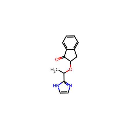 CC(OC1Cc2ccccc2C1=O)c1ncc[nH]1